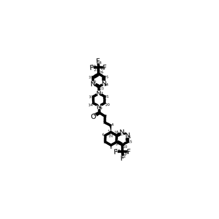 O=C(CCC[C@@H]1CCCc2c(C(F)(F)F)cnnc21)N1CCN(c2ncc(C(F)(F)F)cn2)CC1